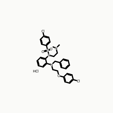 CN(C)CCN(c1ccccc1N(CCOc1ccc(Cl)cc1)Cc1ccccc1)S(=O)(=O)c1ccc(Cl)cc1.Cl